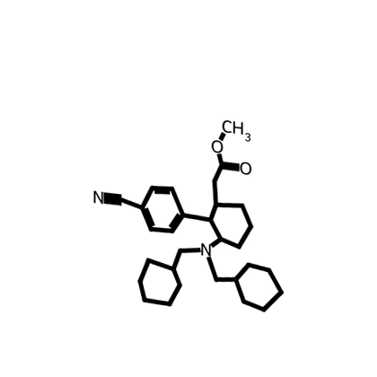 COC(=O)CC1CCCC(N(CC2CCCCC2)CC2CCCCC2)C1c1ccc(C#N)cc1